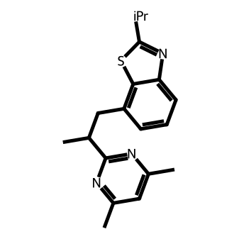 Cc1cc(C)nc(C(C)Cc2cccc3nc(C(C)C)sc23)n1